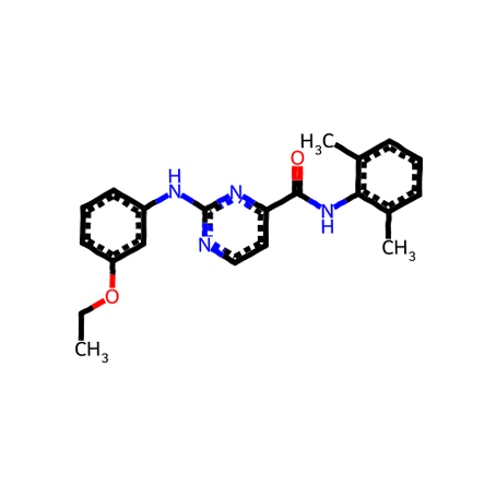 CCOc1cccc(Nc2nccc(C(=O)Nc3c(C)cccc3C)n2)c1